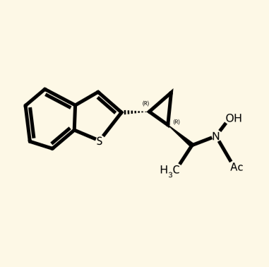 CC(=O)N(O)C(C)[C@@H]1C[C@H]1c1cc2ccccc2s1